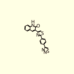 O=c1[nH]c2ccccc2cc1-c1csc(-c2ccc(-c3csnn3)cc2)n1